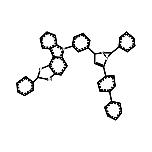 C1=C(c2ccc(-c3ccccc3)cc2)N2C(c3ccccc3)N2C1c1cccc(-n2c3ccccc3c3c4c(ccc32)NC(c2ccccc2)O4)c1